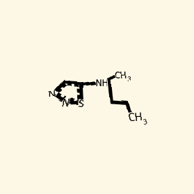 CCCC(C)Nc1[c]nns1